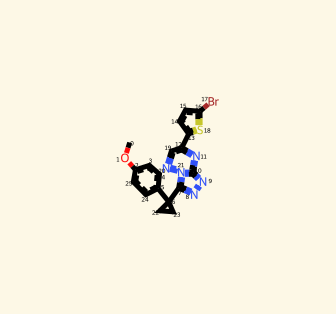 COc1ccc(C2(c3nnc4nc(-c5ccc(Br)s5)cnn34)CC2)cc1